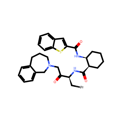 CC(C)C[C@H](NC(=O)[C@@H]1CCCC[C@@H]1NC(=O)c1cc2ccccc2s1)C(=O)CN1CCCc2ccccc2C1